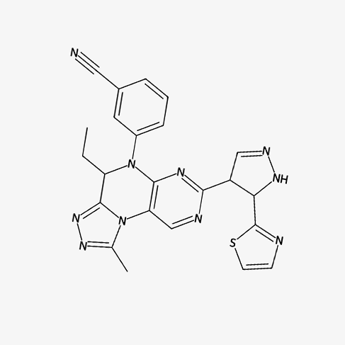 CCC1c2nnc(C)n2-c2cnc(C3C=NNC3c3nccs3)nc2N1c1cccc(C#N)c1